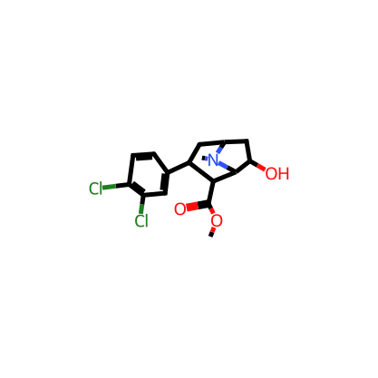 COC(=O)C1C(c2ccc(Cl)c(Cl)c2)CC2CC(O)C1N2C